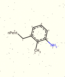 CCCCCCc1cccc(N)c1C